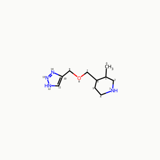 CC1CNCCC1COCc1c[nH]nn1